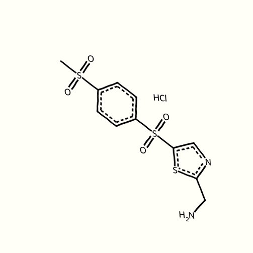 CS(=O)(=O)c1ccc(S(=O)(=O)c2cnc(CN)s2)cc1.Cl